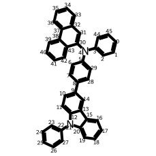 c1ccc(N(c2ccc(-c3ccc4c(c3)c3ccccc3n4-c3ccccc3)cc2)c2cc3ccccc3c3ccccc23)cc1